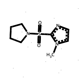 Cn1ccnc1S(=O)(=O)N1CCCC1